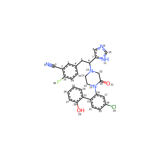 N#Cc1cc(CC(c2cnc[nH]2)N2CCN(c3cc(Cl)ccc3-c3ccccc3O)C(=O)C2)ccc1F